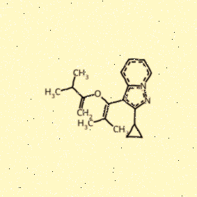 C=C(OC(=C(C)C)c1c(C2CC2)nn2ccccc12)C(C)C